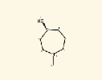 CN1CCC[C@H](O)CC1